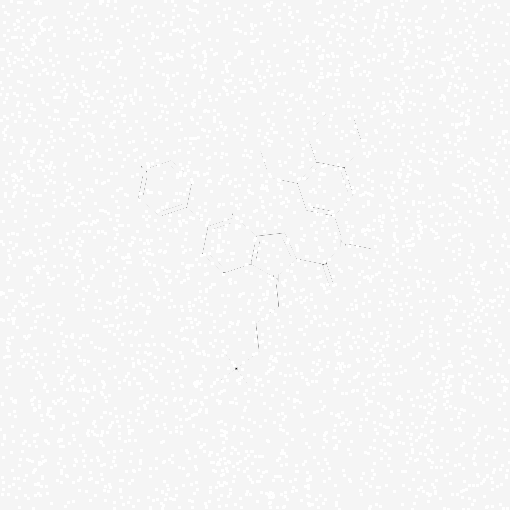 COc1cc(N(C)C(=O)c2cc3nc(-c4ccncc4)ccc3n2CCCC(F)(F)F)cc(OC)c1OC